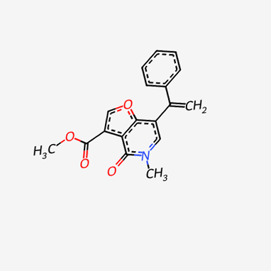 C=C(c1ccccc1)c1cn(C)c(=O)c2c(C(=O)OC)coc12